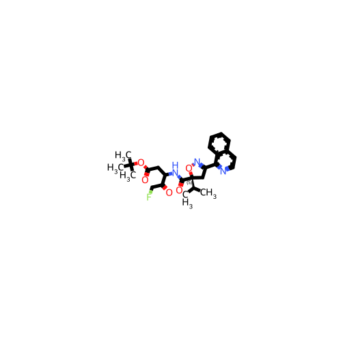 CC(C)[C@]1(C(=O)NC(CC(=O)OC(C)(C)C)C(=O)CF)CC(c2nccc3ccccc23)=NO1